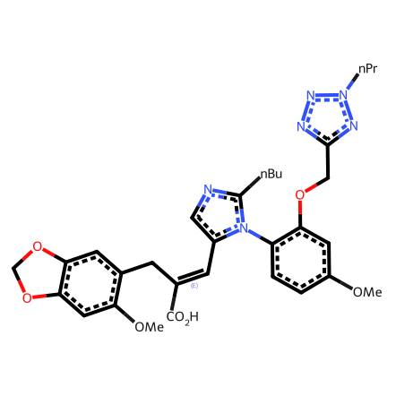 CCCCc1ncc(/C=C(\Cc2cc3c(cc2OC)OCO3)C(=O)O)n1-c1ccc(OC)cc1OCc1nnn(CCC)n1